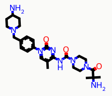 Cc1cn(-c2ccc(CN3CCC(N)CC3)cc2)c(=O)nc1NC(=O)N1CCN(C(=O)C(C)(C)N)CC1